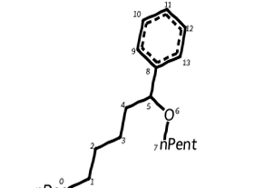 CCCCCCCCCCCCCCC(OCCCCC)c1ccccc1